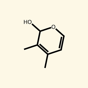 CC1=C(C)C(O)OC=C1